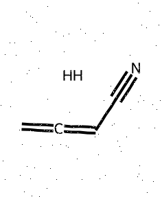 C=C=CC#N.[HH]